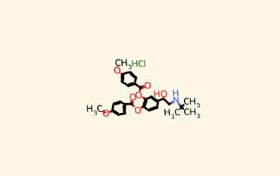 COc1ccc(C(=O)Oc2ccc(C(O)CNC(C)(C)C)cc2OC(=O)c2ccc(OC)cc2)cc1.Cl